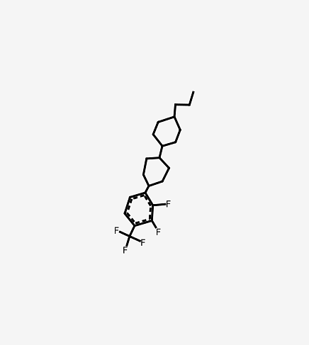 CCCC1CCC(C2CCC(c3ccc(C(F)(F)F)c(F)c3F)CC2)CC1